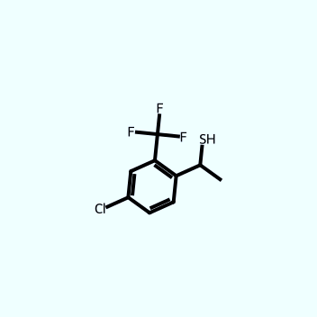 CC(S)c1ccc(Cl)cc1C(F)(F)F